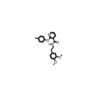 COc1ccc(CCNC(=O)c2cccnc2Oc2ccc(C)cc2)cc1OC